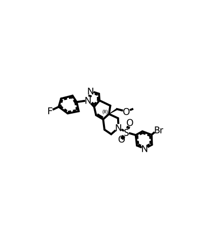 COC[C@]12Cc3cnn(-c4ccc(F)cc4)c3C=C1CCN(S(=O)(=O)c1cncc(Br)c1)C2